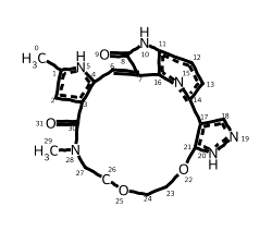 Cc1cc2c([nH]1)/C=C1\C(=O)Nc3ccc(nc31)-c1cn[nH]c1OCCOCCN(C)C2=O